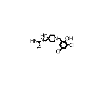 CSC(=N)NCC1(F)CCN(Cc2cc(Cl)cc(Cl)c2O)CC1